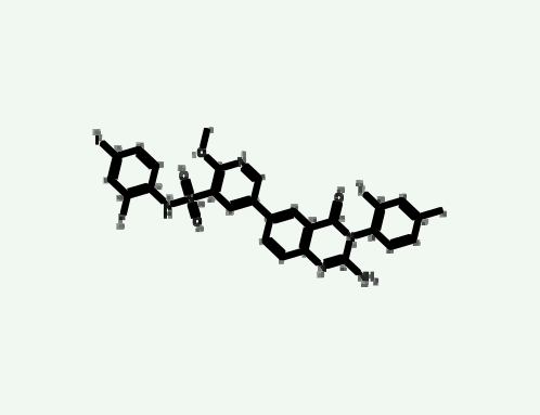 COc1ncc(-c2ccc3nc(N)n(-c4ccc(C)cc4F)c(=O)c3c2)cc1S(=O)(=O)Nc1ccc(F)cc1F